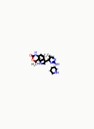 CC1OC(=O)Nc2ccc3c(-c4nc(N[C@H]5CCCNC5)ncc4C(F)(F)F)c[nH]c3c21